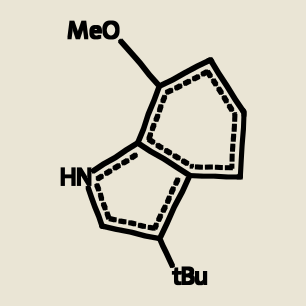 COc1cccc2c(C(C)(C)C)c[nH]c12